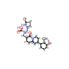 Cc1c(Br)cccc1-c1ccn2c(=O)c(CN(CC3CCC(=O)N3)C(=O)O)ccc2c1